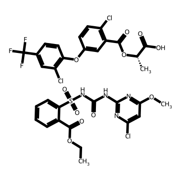 CCOC(=O)c1ccccc1S(=O)(=O)NC(=O)Nc1nc(Cl)cc(OC)n1.C[C@H](OC(=O)c1cc(Oc2ccc(C(F)(F)F)cc2Cl)ccc1Cl)C(=O)O